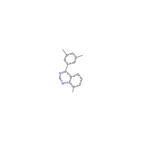 Cc1cc(C)cc(-c2ncnc3c(C)cccc23)c1